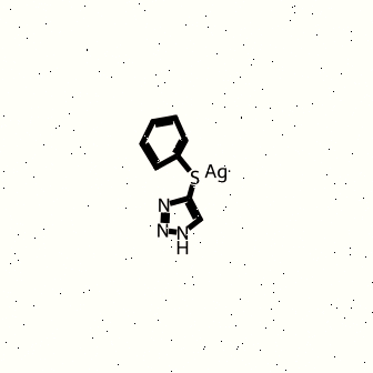 [Ag].c1ccc(Sc2c[nH]nn2)cc1